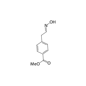 COC(=O)c1ccc(C/C=N/O)cc1